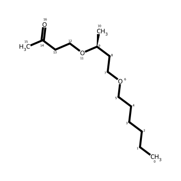 CCCCCCOCC[C@H](C)OCCC(C)=O